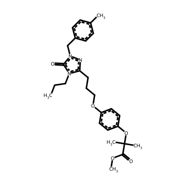 CCCn1c(CCCOc2ccc(OC(C)(C)C(=O)OC)cc2)nn(Cc2ccc(C)cc2)c1=O